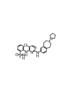 CS(=N)(=O)c1ccccc1Nc1nc(Nc2ccc3c(c2)CCC(N2CCCC2)CC3)ncc1Cl